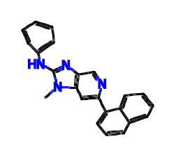 Cn1c(Nc2ccccc2)nc2cnc(-c3cccc4ccccc34)cc21